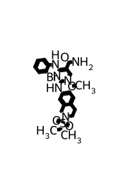 COc1cc2c(cc1Nc1ncc(C(N)=O)c(Nc3ccccc3Br)n1)CN(S(=O)(=O)C(C)C)CC2